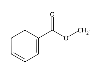 [CH2]OC(=O)C1=CC=CCC1